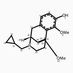 COc1c(O)ccc2c1C13CCN(CC4CC4)[C@H](C2)C1CCC(OC)C3